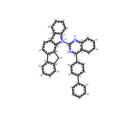 c1ccc(-c2ccc(-c3nc(-n4c5ccccc5c5ccc6c(c54)Cc4ccccc4-6)nc4ccccc34)cc2)cc1